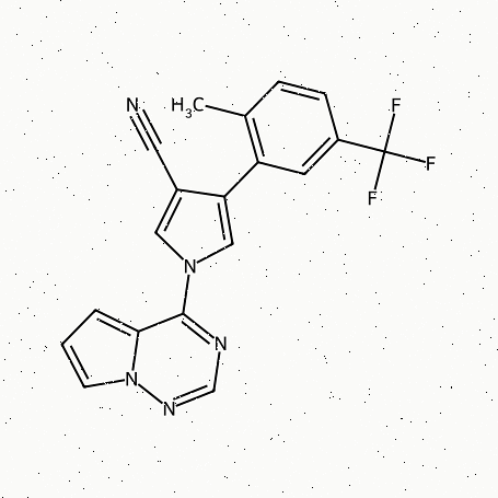 Cc1ccc(C(F)(F)F)cc1-c1cn(-c2ncnn3cccc23)cc1C#N